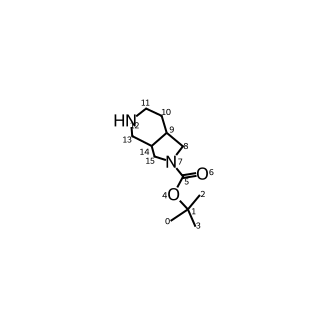 CC(C)(C)OC(=O)N1CC2CCNCC2C1